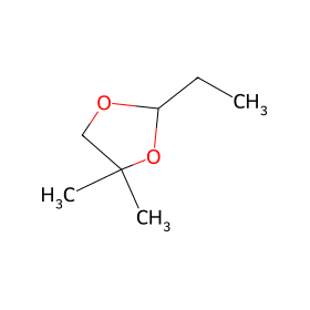 CCC1OCC(C)(C)O1